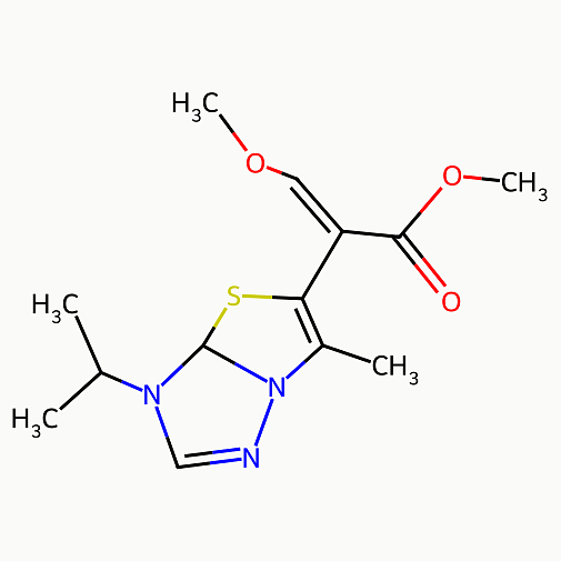 CO/C=C(/C(=O)OC)C1=C(C)N2N=CN(C(C)C)C2S1